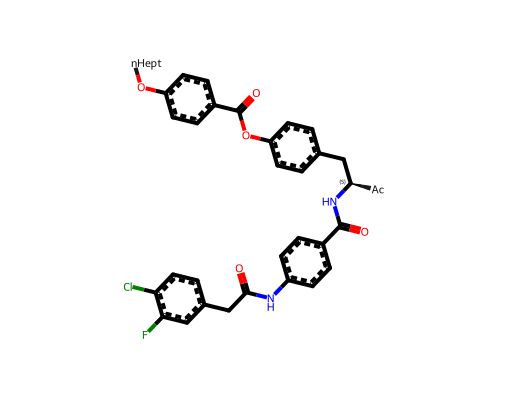 CCCCCCCOc1ccc(C(=O)Oc2ccc(C[C@H](NC(=O)c3ccc(NC(=O)Cc4ccc(Cl)c(F)c4)cc3)C(C)=O)cc2)cc1